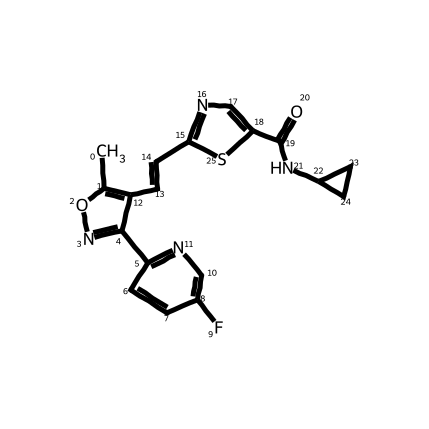 Cc1onc(-c2ccc(F)cn2)c1C=Cc1ncc(C(=O)NC2CC2)s1